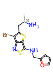 C[C@H](N)Cc1sc2c(NCc3ccco3)snc2c1Br